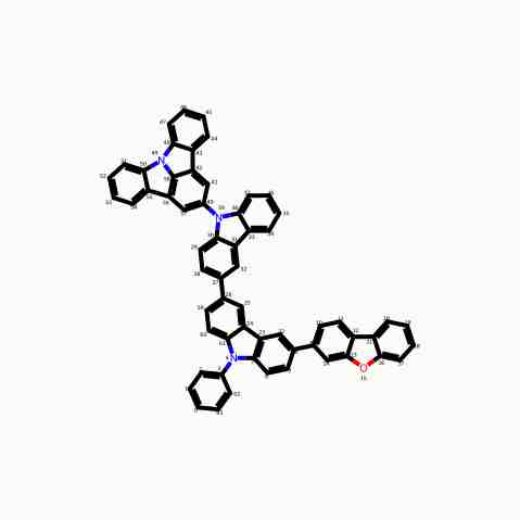 c1ccc(-n2c3ccc(-c4ccc5c(c4)oc4ccccc45)cc3c3cc(-c4ccc5c(c4)c4ccccc4n5-c4cc5c6ccccc6n6c7ccccc7c(c4)c56)ccc32)cc1